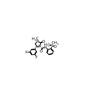 CN1C[C@H](c2cc(F)cc(F)c2)[C@@H](C(=O)Nc2ccccc2S(C)(=O)=O)C1=O